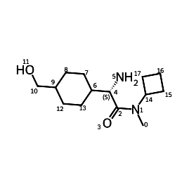 CN(C(=O)[C@@H](N)C1CCC(CO)CC1)C1CCC1